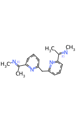 C/N=C(\C)c1cccc(Cc2cccc(/C(C)=N/C)n2)n1